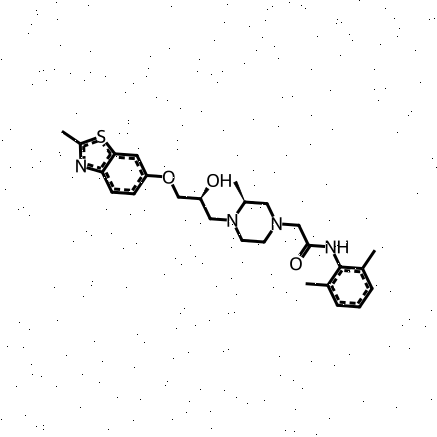 Cc1nc2ccc(OC[C@@H](O)CN3CCN(CC(=O)Nc4c(C)cccc4C)C[C@@H]3C)cc2s1